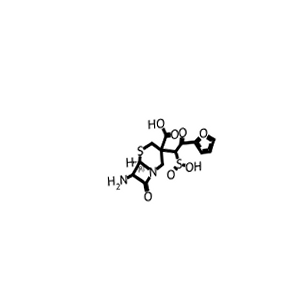 NC1C(=O)N2CC(C(=O)O)(C(C(=O)c3ccco3)S(=O)O)CS[C@H]12